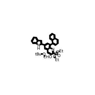 CC(C)(C)OC=O.CCOP(=O)(OCC)c1ccc2cc(-c3cc4ccccc4[nH]3)cc(-c3cccc4ccccc34)c2n1